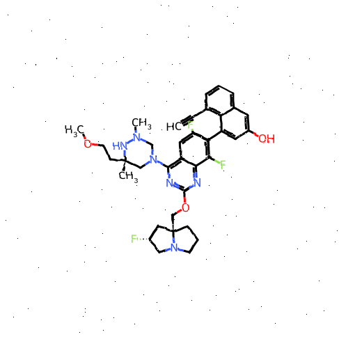 C#Cc1cccc2cc(O)cc(-c3c(F)cc4c(N5CN(C)N[C@@](C)(CCOC)C5)nc(OC[C@@]56CCCN5C[C@H](F)C6)nc4c3F)c12